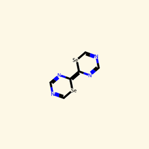 C1=NC=NC(=C2N=CN=C[Se]2)[Se]1